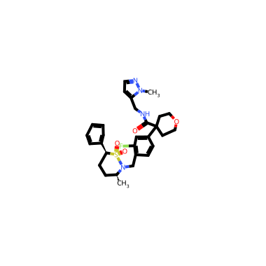 C[C@@H]1CC[C@@H](c2ccccc2)S(=O)(=O)N1Cc1ccc(C2(C(=O)NCc3ccnn3C)CCOCC2)cc1F